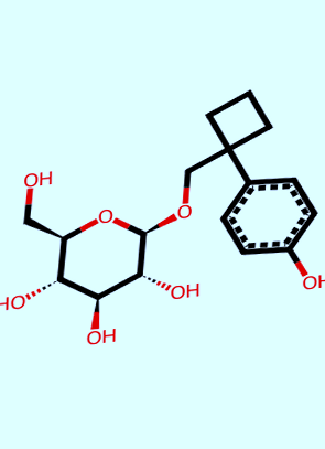 OC[C@H]1O[C@@H](OCC2(c3ccc(O)cc3)CCC2)[C@H](O)[C@@H](O)[C@@H]1O